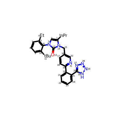 CCCc1cn(-c2c(CC)cccc2C(C)(C)C)c(=O)n1Cc1ccc(-c2ccccc2-c2nnn[nH]2)nc1